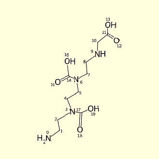 NCCN(CCN(CCNCC(=O)O)C(=O)O)C(=O)O